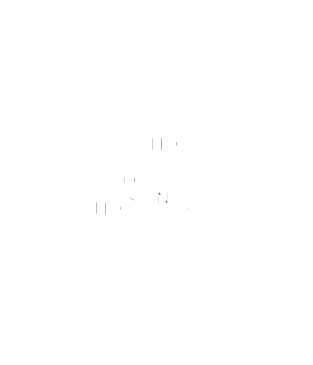 O=C(O)[C@@H]1CCC(=O)N1Cc1ccccc1O